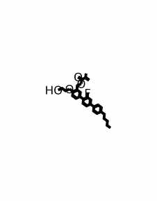 C=C(C)C(=O)OCc1cc(-c2ccc(-c3ccc(CCCCC)cc3)cc2F)ccc1OCCO